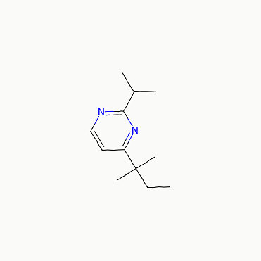 CCC(C)(C)c1ccnc(C(C)C)n1